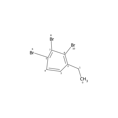 CCc1ccc(Br)c(Br)c1Br